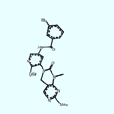 COc1ncc(NC(=O)c2cccc(C(C)(C)C)c2)cc1N1Cc2cnc(SC)nc2N(C)C1=O